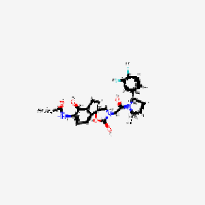 CNC(=O)NC1=CC=C2C(CC[C@]23CN(CC(=O)N2[C@@H](c4ccc(F)c(F)c4)CC[C@@H]2C)C(=O)O3)C1=O